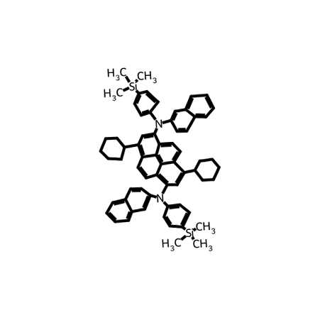 C[Si](C)(C)c1ccc(N(c2ccc3ccccc3c2)c2cc(C3CCCCC3)c3ccc4c(N(c5ccc([Si](C)(C)C)cc5)c5ccc6ccccc6c5)cc(C5CCCCC5)c5ccc2c3c54)cc1